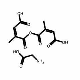 C/C(=C/C(=O)O)C(=O)OC(=O)/C(C)=C\C(=O)O.NCC(=O)O